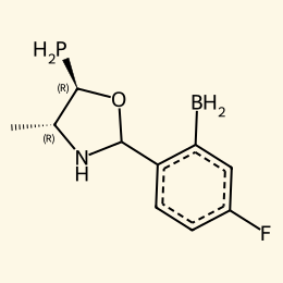 Bc1cc(F)ccc1C1N[C@H](C)[C@@H](P)O1